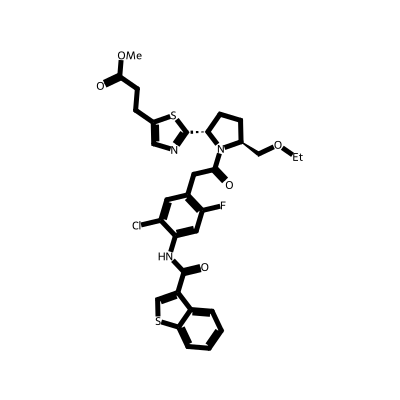 CCOC[C@@H]1CC[C@@H](c2ncc(CCC(=O)OC)s2)N1C(=O)Cc1cc(Cl)c(NC(=O)c2csc3ccccc23)cc1F